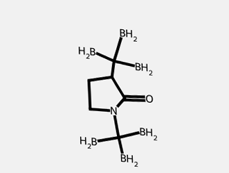 BC(B)(B)C1CCN(C(B)(B)B)C1=O